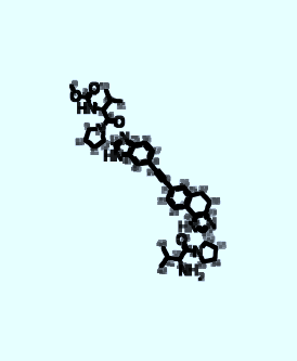 COC(=O)N[C@H](C(=O)N1CCC[C@H]1c1nc2ccc(C#Cc3ccc4c(c3)CCc3nc([C@@H]5CCCN5C(=O)[C@@H](N)C(C)C)[nH]c3-4)cc2[nH]1)C(C)C